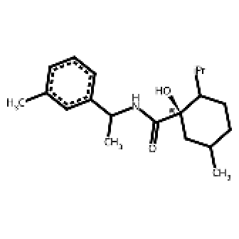 Cc1cccc(C(C)NC(=O)[C@@]2(O)CC(C)CCC2C(C)C)c1